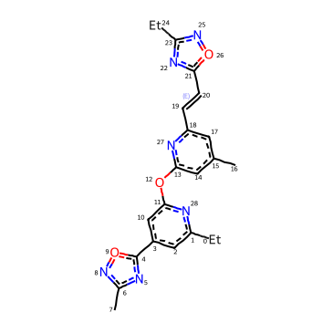 CCc1cc(-c2nc(C)no2)cc(Oc2cc(C)cc(/C=C/c3nc(CC)no3)n2)n1